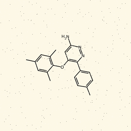 Cc1ccc(-c2nnc(N)cc2Oc2c(C)cc(C)cc2C)cc1